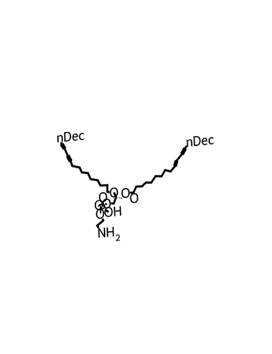 CCCCCCCCCCC#CC#CCCCCCCCCC(=O)OC[C@H](COP(=O)(O)OCCN)OC(=O)CCCCCCCCC#CC#CCCCCCCCCCC